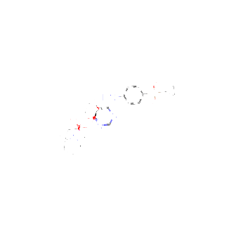 Cc1c(Nc2ccc(S(=O)(=O)C3CC3)cc2F)ncnc1O[C@H]1CC2CC[C@@H](C1)N2C(=O)OC1(C)CCC1